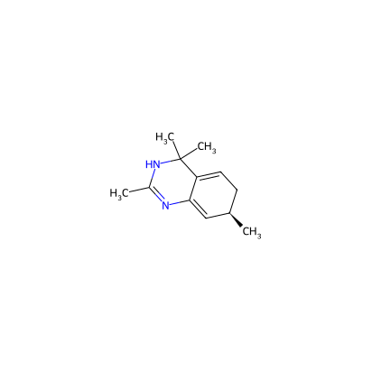 CC1=NC2=C[C@H](C)CC=C2C(C)(C)N1